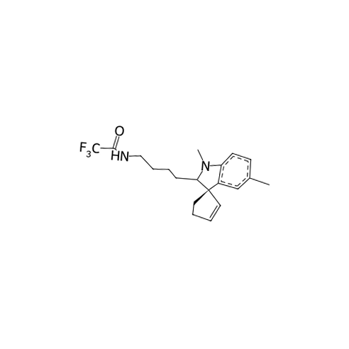 Cc1ccc2c(c1)[C@]1(C=CCC1)C(CCCCNC(=O)C(F)(F)F)N2C